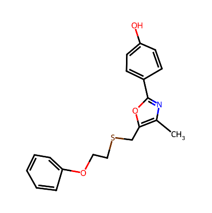 Cc1nc(-c2ccc(O)cc2)oc1CSCCOc1ccccc1